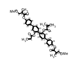 C=CC(=O)Oc1cc(-c2ccc(OC(=O)C(=C)COC)cc2)ccc1-c1ccc(-c2ccc(OC(=O)C(=C)COC)cc2)cc1OC(=O)C(=C)C